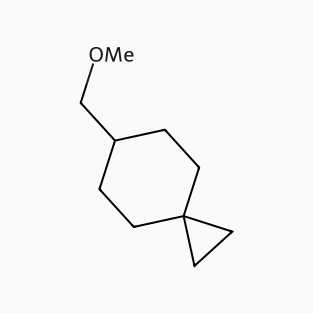 COCC1CCC2(CC1)CC2